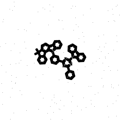 CC1(C)c2ccccc2-c2c1ccc1c3ccccc3n(-c3cccc(-c4nc(-c5ccccc5)nc(-n5c6ccccc6c6ccccc65)n4)c3)c21